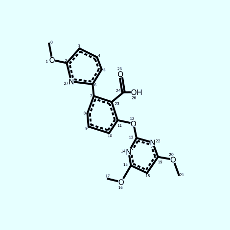 COc1cccc(-c2cccc(Oc3nc(OC)cc(OC)n3)c2C(=O)O)n1